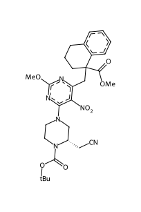 COC(=O)C1(Cc2nc(OC)nc(N3CCN(C(=O)OC(C)(C)C)[C@@H](CC#N)C3)c2[N+](=O)[O-])CCCc2ccccc21